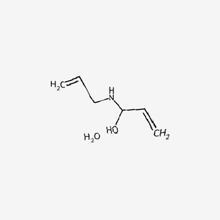 C=CCNC(O)C=C.O